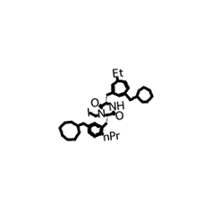 CCCc1ccc(CC2CCCCCCC2)cc1C[C@H]1C(=O)N[C@@H](CC2=CC(CC)C=CC(CC3CCCCCC3)=C2)C(=O)N1CI